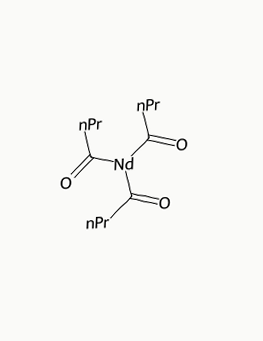 CCC[C](=O)[Nd]([C](=O)CCC)[C](=O)CCC